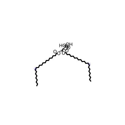 CCCCCCCC/C=C\CCCCCCCCCCCC(=O)OC[C@H](COP(=O)(O)O)OC(=O)CCCCCCCCCCC/C=C\CCCCCCCC